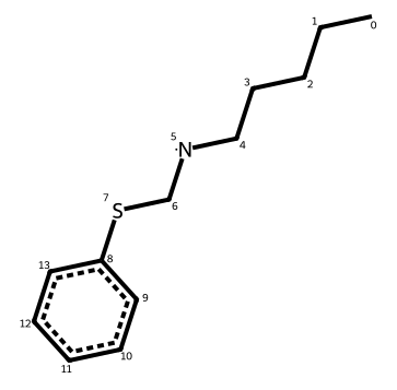 CCCCC[N]CSc1ccccc1